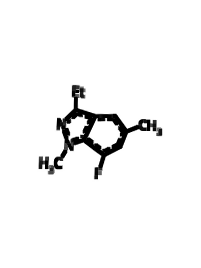 CCc1nn(C)c2c(F)cc(C)cc12